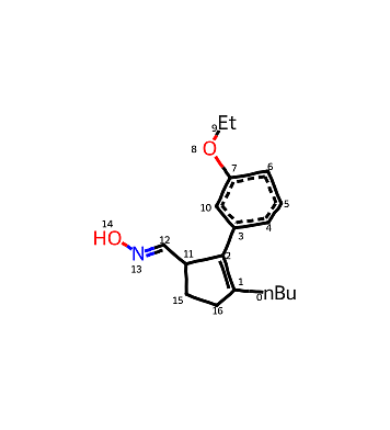 CCCCC1=C(c2cccc(OCC)c2)C(C=NO)CC1